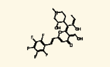 C\C=C(O)/C(=c1/oc(/C=C/c2c(F)c(F)c(F)c(F)c2F)cc(=O)/c1=C\O)C1CCN(C)CC1O